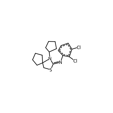 Clc1cccc(/N=C2/SCC3(CCCC3)N2C2CCCC2)c1Cl